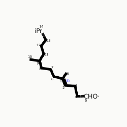 C/C(=C\CC[C]=O)CCCC(C)CCCC(C)C